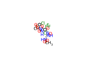 CCS(=O)(=O)c1ccc(Cl)cc1Cn1c(=O)[nH]c2c(Cl)c(CN3CC(CCNS(C)(=O)=O)NC3=O)c(OC(F)(F)F)cc2c1=O